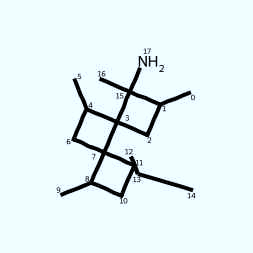 CC1CC2(C(C)CC23C(C)CC32CC2C)C1(C)N